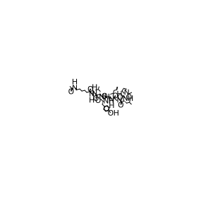 C=CCCC[C@H](NC(=O)CNC(=O)[C@H](CC(C)C)NC(=O)[C@@H]1CCCN1C(C)=O)C(=O)N[C@@H](Cc1ccc(O)cc1)C(=O)N[C@@H](CC(C)C)C(=O)NNC(=O)CCCCCNC(C)=O